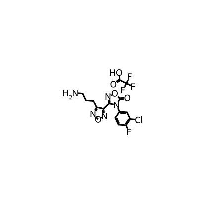 NCCCc1nonc1-c1noc(=O)n1-c1ccc(F)c(Cl)c1.O=C(O)C(F)(F)F